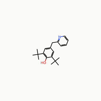 CC(C)(C)c1cc(Cc2ccc[c]n2)cc(C(C)(C)C)c1O